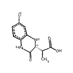 CC(C(=O)O)[C@H]1Nc2cc(Cl)ccc2NC1=O